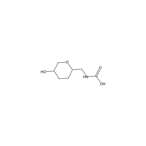 O=C(O)NCC1CCC(O)CO1